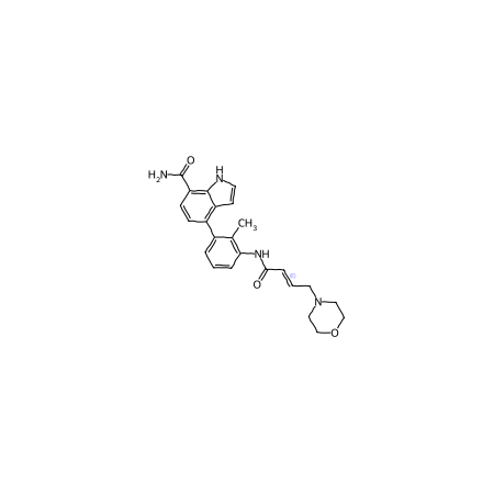 Cc1c(NC(=O)/C=C/CN2CCOCC2)cccc1-c1ccc(C(N)=O)c2[nH]ccc12